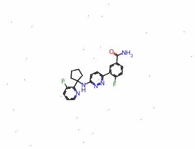 NC(=O)c1ccc(F)c(-c2ccc(NC3(c4ncccc4F)CCCC3)nn2)c1